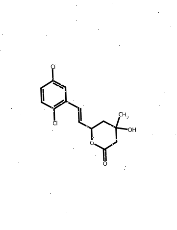 CC1(O)CC(=O)OC(C=Cc2cc(Cl)ccc2Cl)C1